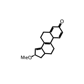 CO[C@H]1C=C2C3=C(CCC2C1)C1C=CC(=O)C=C1CC3